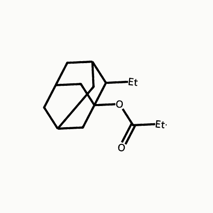 C[CH]C(=O)OC12CC3CC(CC(C3)C1CC)C2